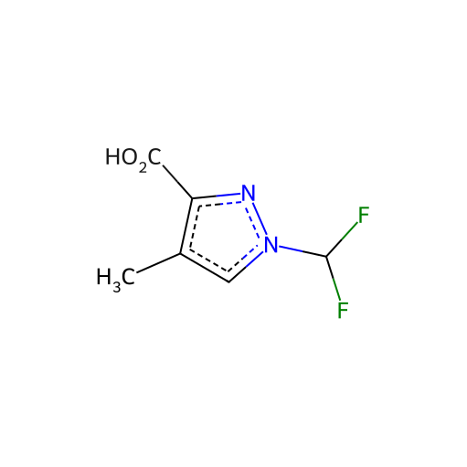 Cc1cn(C(F)F)nc1C(=O)O